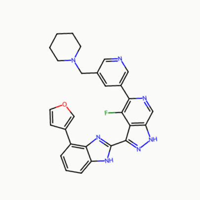 Fc1c(-c2cncc(CN3CCCCC3)c2)ncc2[nH]nc(-c3nc4c(-c5ccoc5)cccc4[nH]3)c12